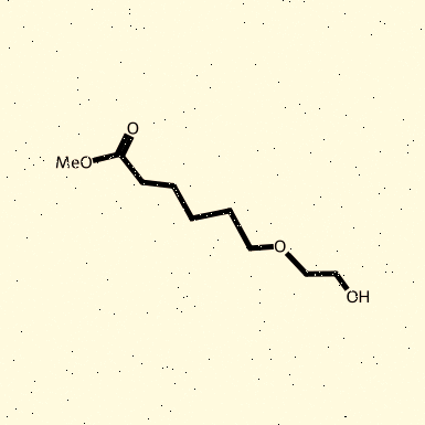 COC(=O)CCCCCOCCO